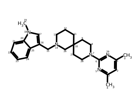 Cc1cc(C)nc(N2CCC3(CCCN(Cc4cn(C)c5ccccc45)C3)CC2)n1